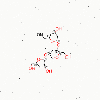 O=NC[C@H]1C[C@@H](O)C[C@@H](O[C@H]2C[C@@H](O[C@@H]3C[C@H](O)C[C@H](CO)O3)CO[C@@H]2CO)O1